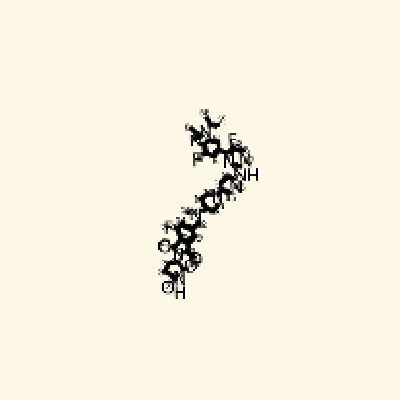 Cc1nc2c(F)cc(-c3nc(Nc4ccc(N5CCC(N(C)Cc6cc(F)c7c(c6)C(=O)N(C6CCC(=O)NC6=O)C7=O)CC5)cn4)ncc3F)cc2n1C(C)C